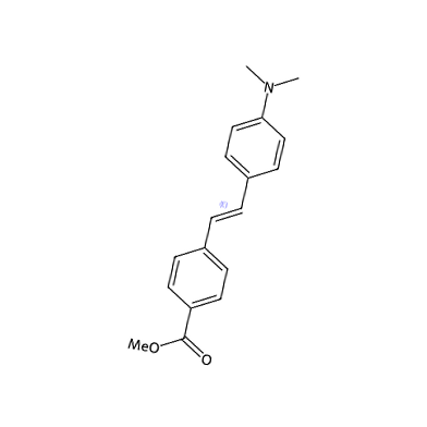 COC(=O)c1ccc(/C=C/c2ccc(N(C)C)cc2)cc1